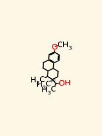 COc1ccc2c(c1)CCC1C2CC[C@@](C)(C(C)O)C1C